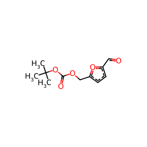 CC(C)(C)OC(=O)OCc1ccc(C=O)o1